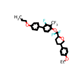 C=CCOc1ccc(-c2ccc(OC(F)(F)C3CCC(c4ccc(OCC)cc4)CO3)c(C(F)(F)F)c2F)cc1